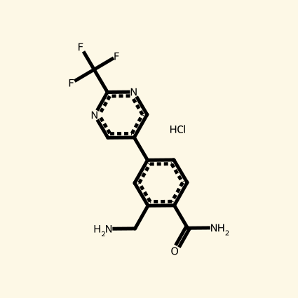 Cl.NCc1cc(-c2cnc(C(F)(F)F)nc2)ccc1C(N)=O